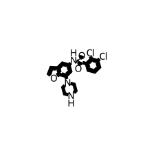 O=S(=O)(Nc1cc(N2CCNCC2)c2occc2c1)c1cccc(Cl)c1Cl